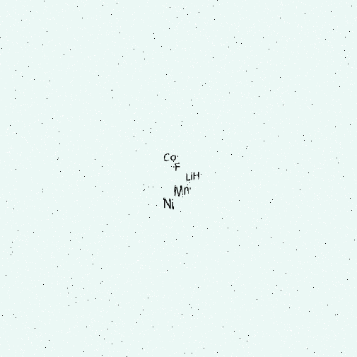 [Co].[F].[LiH].[Mn].[Ni]